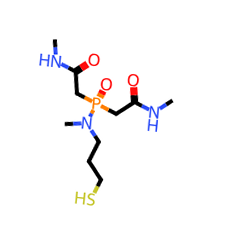 CNC(=O)CP(=O)(CC(=O)NC)N(C)CCCS